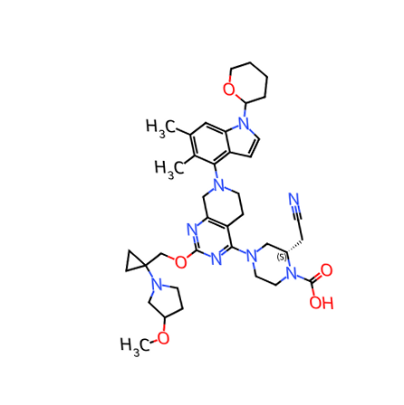 COC1CCN(C2(COc3nc4c(c(N5CCN(C(=O)O)[C@@H](CC#N)C5)n3)CCN(c3c(C)c(C)cc5c3ccn5C3CCCCO3)C4)CC2)C1